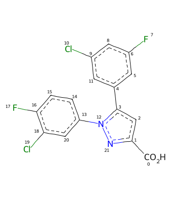 O=C(O)c1cc(-c2cc(F)cc(Cl)c2)n(-c2ccc(F)c(Cl)c2)n1